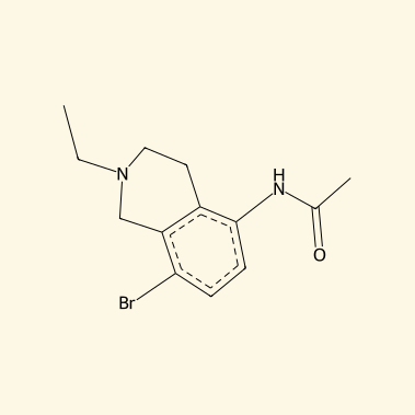 CCN1CCc2c(NC(C)=O)ccc(Br)c2C1